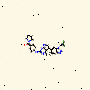 COc1nc(NC2CCC(C(=O)N3CCCC3)CC2)nc2[nH]cc(-c3ccc4nnn(CC(F)F)c4c3)c12